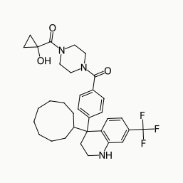 O=C(c1ccc(C2(C3CCCCCCCC3)CCNc3cc(C(F)(F)F)ccc32)cc1)N1CCN(C(=O)C2(O)CC2)CC1